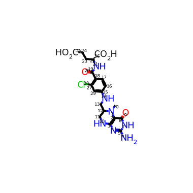 CN1c2c(nc(N)[nH]c2=O)NCC1CNc1ccc(C(=O)N[C@@H](CCC(=O)O)C(=O)O)c(Cl)c1